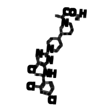 CC(Nc1nc(N2CCC(C3CCCN(C(C)C(=O)O)C3)CC2)ncc1Cl)c1ccc(Cl)cc1Cl